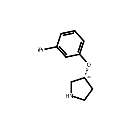 CC(C)c1cccc(O[C@@H]2CCNC2)c1